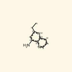 CCc1cc(N)c2ncccc2n1